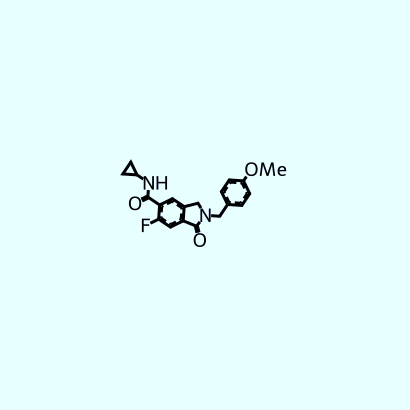 COc1ccc(CN2Cc3cc(C(=O)NC4CC4)c(F)cc3C2=O)cc1